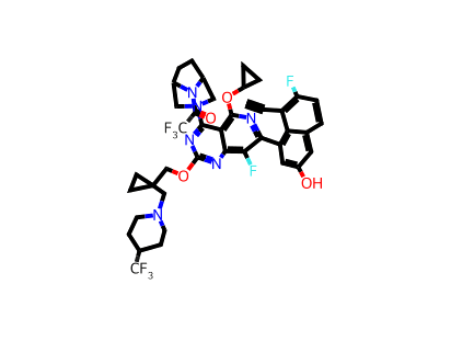 C#Cc1c(F)ccc2cc(O)cc(-c3nc(OC4CC4)c4c(N5CC6CCC(C5)N6C(=O)C(F)(F)F)nc(OCC5(CN6CCC(C(F)(F)F)CC6)CC5)nc4c3F)c12